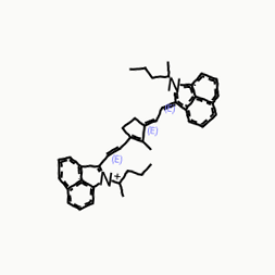 CCCC(C)n1/c(=C/C=C2\CCC(/C=C/C3=[N+](C(C)CCC)c4cccc5cccc3c45)=C2C)c2cccc3cccc1c32